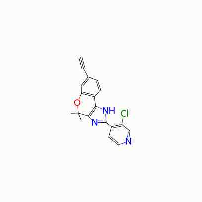 C#Cc1ccc2c(c1)OC(C)(C)c1nc(-c3ccncc3Cl)[nH]c1-2